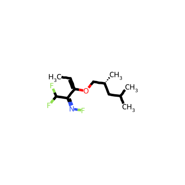 C/C=C(OC[C@H](C)CC(C)C)\C(=N/F)C(F)F